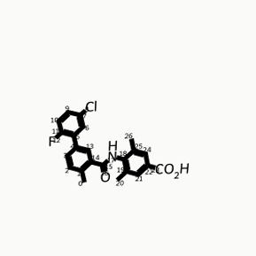 Cc1ccc(-c2cc(Cl)ccc2F)cc1C(=O)Nc1c(C)cc(C(=O)O)cc1C